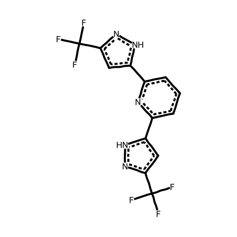 FC(F)(F)c1cc(-c2cccc(-c3cc(C(F)(F)F)n[nH]3)n2)[nH]n1